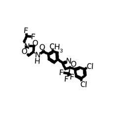 Cc1cc(C2=NO[C@@](c3cc(Cl)cc(Cl)c3)(C(F)(F)F)C2)ccc1C(=O)N[C@@H]1CON(CC(F)F)C1=O